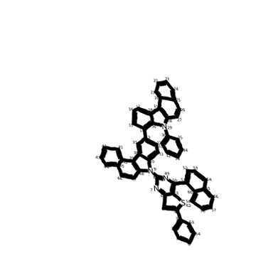 c1ccc(-c2cc3nc(-n4c5ccc(-c6cccc7c8c9ccccc9ccc8n(-c8ccccc8)c67)cc5c5c6ccccc6ccc54)nc(-c4cccc5ccccc45)c3s2)cc1